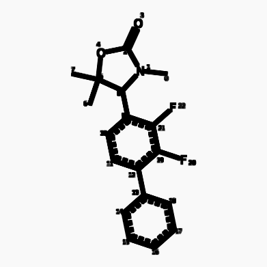 CN1C(=O)OC(C)(C)C1c1ccc(-c2ccccc2)c(F)c1F